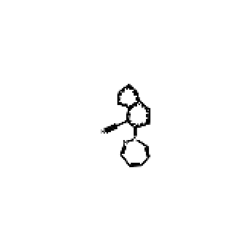 N#Cc1c(N2C=CC=CC=N2)ccc2ccccc12